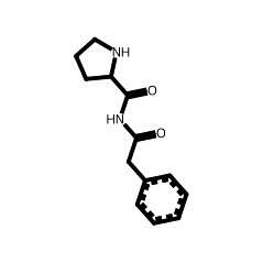 O=C(Cc1ccccc1)NC(=O)C1CCCN1